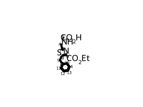 CCOC(=O)c1nc(CNC(=O)O)sc1Cc1ccccc1